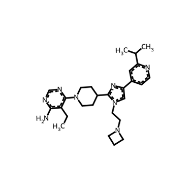 CCc1c(N)ncnc1N1CCC(c2nc(-c3ccnc(C(C)C)c3)cn2CCN2CCC2)CC1